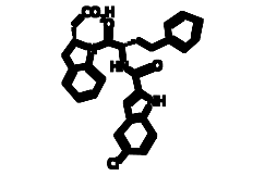 O=C(O)C[C@H]1Cc2ccccc2N1C(=O)[C@H](CCc1ccccc1)NC(=O)c1cc2cc(Cl)ccc2[nH]1